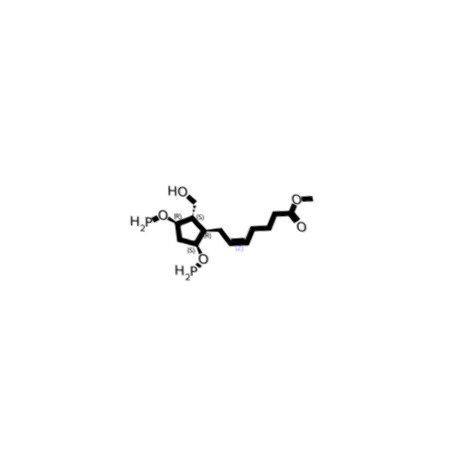 COC(=O)CCC/C=C\C[C@@H]1[C@@H](CO)[C@H](OP)C[C@@H]1OP